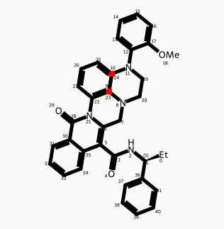 CC[C@H](NC(=O)c1c(CN2CCN(c3ccccc3OC)CC2)n(-c2ccccc2)c(=O)c2ccccc12)c1ccccc1